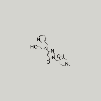 CN1CCC(O)(Cn2cnc(N(CCO)Cc3cccnc3)cc2=O)CC1